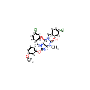 CN1c2nc(Oc3cccc(OC(F)(F)F)c3)n(Cc3ccc(Cl)cc3)c2C(=O)N(Cc2ccc(Cl)cc2)C1O